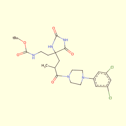 CC(CC1(CCNC(=O)OC(C)(C)C)NC(=O)NC1=O)C(=O)N1CCN(c2cc(Cl)cc(Cl)c2)CC1